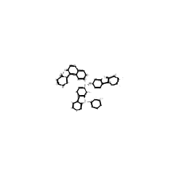 c1ccc(-n2c3ccccc3c3ccc(N(c4ccc5c(c4)sc4ccccc45)c4ccc5ccc6oc7ccccc7c6c5c4)cc32)cc1